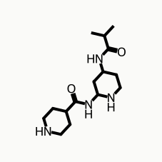 CC(C)C(=O)NC1CCNC(NC(=O)C2CCNCC2)C1